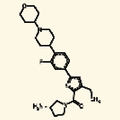 CCc1cc(-c2ccc(C3CCN(C4CCOCC4)CC3)c(F)c2)sc1C(=O)N1CC[C@H](N)C1